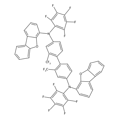 Fc1c(F)c(F)c(N(c2ccc(-c3ccc(N(c4c(F)c(F)c(F)c(F)c4F)c4cccc5c4oc4ccccc45)cc3C(F)(F)F)c(C(F)(F)F)c2)c2cccc3c2oc2ccccc23)c(F)c1F